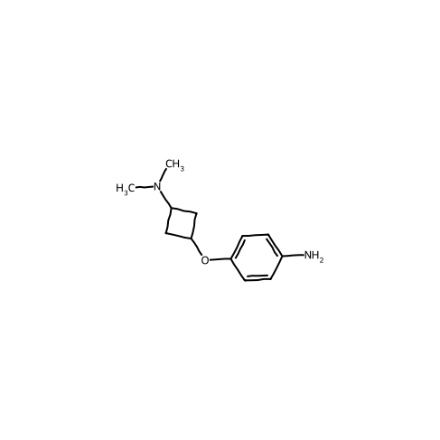 CN(C)C1CC(Oc2ccc(N)cc2)C1